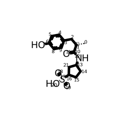 C[C@@H](Cc1ccc(O)cc1)C(=O)NC1CCC(S(=O)(=O)O)C1